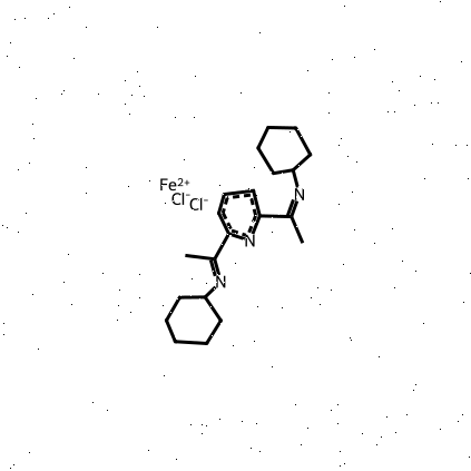 CC(=NC1CCCCC1)c1cccc(C(C)=NC2CCCCC2)n1.[Cl-].[Cl-].[Fe+2]